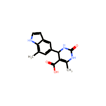 CC1=C(C(=O)O)C(c2cc(C)c3[nH]ccc3c2)NC(=O)N1